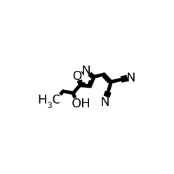 CCC(O)c1cc(C=C(C#N)C#N)no1